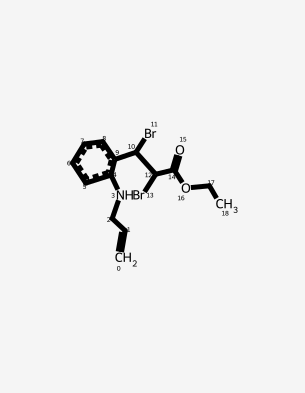 C=CCNc1ccccc1C(Br)C(Br)C(=O)OCC